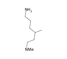 CNCCC(C)CCCN